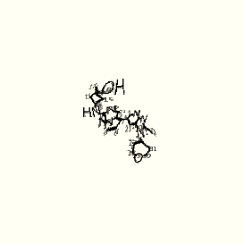 Cc1nc2ncc(-c3ccn4nc(NC5CC(C)(O)C5)ncc34)cc2n1C1CCOCC1